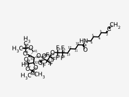 C=C=CCCCCNC(=O)CCCCC(F)(F)C(F)(F)OC(F)(F)C(F)(F)S(=O)(=O)O[C@@H]1C2OC(C)(C)O[C@H]2O[C@]12COC(C)(C)O2